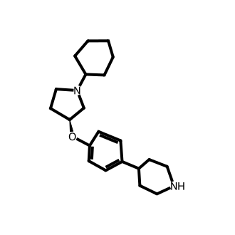 c1cc(C2CCNCC2)ccc1O[C@H]1CCN(C2CCCCC2)C1